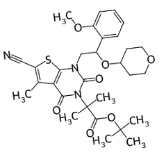 COc1ccccc1C(Cn1c(=O)n(C(C)(C)C(=O)OC(C)(C)C)c(=O)c2c(C)c(C#N)sc21)OC1CCOCC1